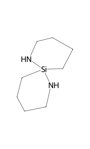 C1CC[Si]2(CCCCN2)NC1